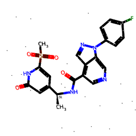 C[C@H](NC(=O)c1cncc2c1cnn2-c1ccc(F)cc1)c1cc(S(C)(=O)=O)[nH]c(=O)c1